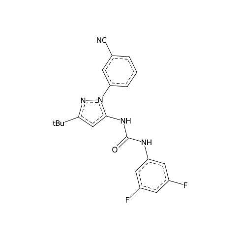 CC(C)(C)c1cc(NC(=O)Nc2cc(F)cc(F)c2)n(-c2cccc(C#N)c2)n1